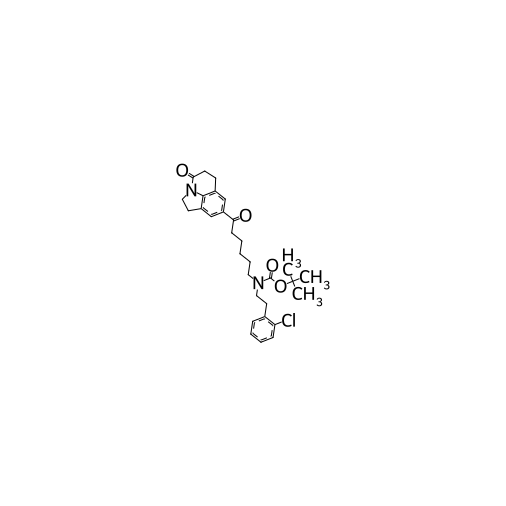 CC(C)(C)OC(=O)N(CCCCCC(=O)c1cc2c3c(c1)CCN3C(=O)CC2)CCc1ccccc1Cl